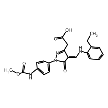 CCc1ccccc1NC=C1C(=O)N(c2ccc(NC(=O)OC)cc2)N=C1CC(=O)O